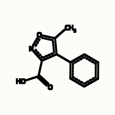 Cc1onc(C(=O)O)c1-c1ccccc1